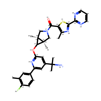 Cc1cc(-c2cc(C(C)(C)N)cc(OC3[C@H]4CN(C(=O)c5sc(-c6ncccn6)nc5C)C[C@@H]34)n2)ccc1F